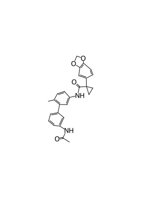 CC(=O)Nc1cccc(-c2cc(NC(=O)C3(c4ccc5c(c4)OCO5)CC3)ccc2C)c1